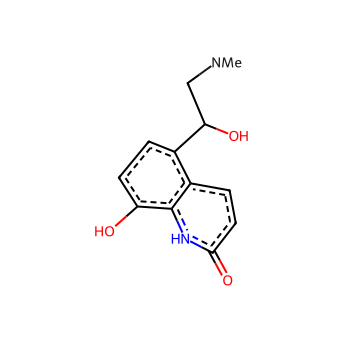 CNCC(O)c1ccc(O)c2[nH]c(=O)ccc12